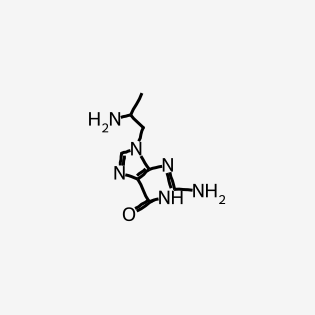 CC(N)Cn1cnc2c(=O)[nH]c(N)nc21